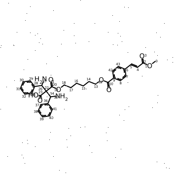 COC(=O)C=Cc1ccc(C(=O)OCCCCCCOC(=O)C(C(=O)O)(C(N)c2ccccc2)C(N)c2ccccc2)cc1